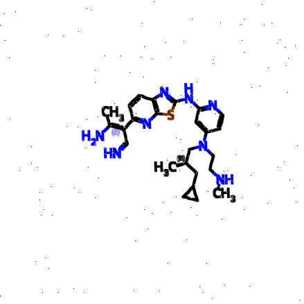 CNCCN(C[C@H](C)CC1CC1)c1ccnc(Nc2nc3ccc(/C(C=N)=C(\C)N)nc3s2)c1